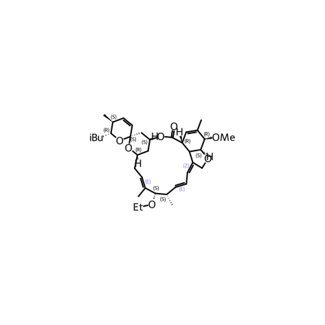 CCO[C@@H]1/C(C)=C/C[C@@H]2C[C@@H](C[C@]3(C=C[C@H](C)[C@@H](C(C)CC)O3)O2)OC(=O)[C@@H]2C=C(C)[C@@H](OC)[C@H]3OC/C(=C\C=C\[C@@H]1C)C23